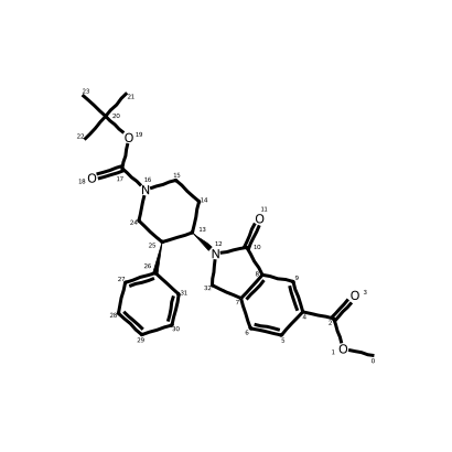 COC(=O)c1ccc2c(c1)C(=O)N([C@@H]1CCN(C(=O)OC(C)(C)C)C[C@@H]1c1ccccc1)C2